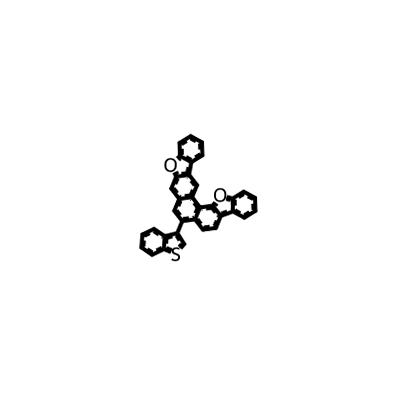 c1ccc2c(c1)oc1cc3cc(-c4csc5ccccc45)c4ccc5c6ccccc6oc5c4c3cc12